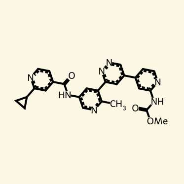 COC(=O)Nc1cc(-c2cnnc(-c3cc(NC(=O)c4ccnc(C5CC5)c4)cnc3C)c2)ccn1